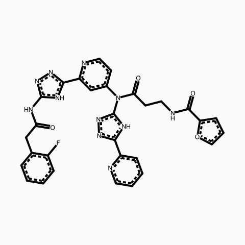 O=C(Cc1ccccc1F)Nc1nnc(-c2cc(N(C(=O)CCNC(=O)c3ccco3)c3nnc(-c4ccccn4)[nH]3)ccn2)[nH]1